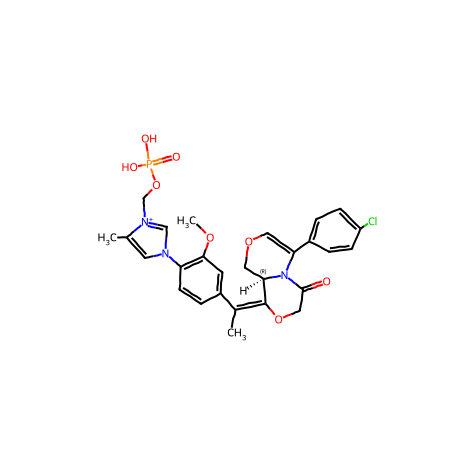 COc1cc(C(C)=C2OCC(=O)N3C(c4ccc(Cl)cc4)=COC[C@H]23)ccc1-n1cc(C)[n+](COP(=O)(O)O)c1